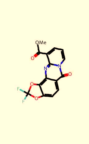 COC(=O)c1cccn2c(=O)c3ccc4c(c3nc12)OC(F)(F)O4